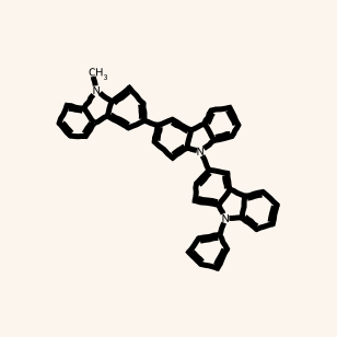 Cn1c2ccccc2c2cc(-c3ccc4c(c3)c3ccccc3n4-c3ccc4c(c3)c3ccccc3n4-c3ccccc3)ccc21